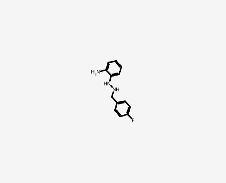 Nc1ccccc1NNCc1ccc(F)cc1